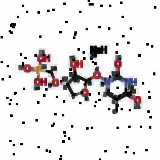 Cc1cn(OC2OC[C@H](OCP(=O)(O)O)[C@H]2O)c(=O)[nH]c1=O.[NaH]